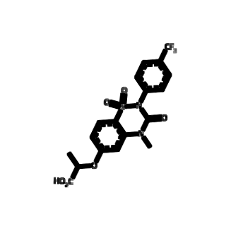 CC(Oc1ccc2c(c1)N(C)C(=O)N(c1ccc(C(F)(F)F)cc1)S2(=O)=O)C(=O)O